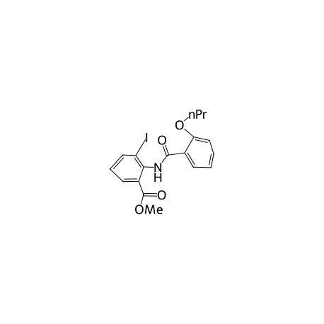 CCCOc1ccccc1C(=O)Nc1c(I)cccc1C(=O)OC